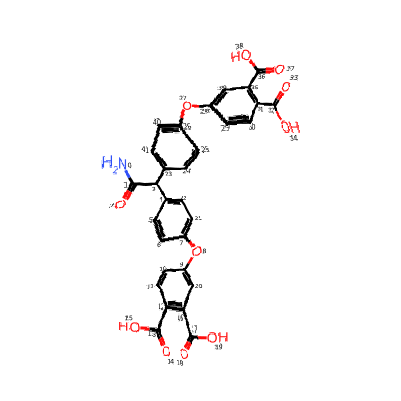 NC(=O)C(c1ccc(Oc2ccc(C(=O)O)c(C(=O)O)c2)cc1)c1ccc(Oc2ccc(C(=O)O)c(C(=O)O)c2)cc1